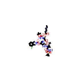 C=C[C@@H]1C[C@]1(NC(=O)[C@@H]1C[C@@H](OC(=O)N2Cc3cccc(F)c3C2)CN1C(=O)[C@H](COC(=O)/C=C/C=C/C)NC(=O)OC(C)(C)C)C(=O)NS(=O)(=O)C1CC1